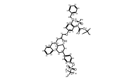 CC(C)(C)OC(=O)N(c1cc(OC[C@@H](O)CN(Cc2ccccc2)C2CCC(c3ccc(OS(=O)(=O)C(F)(F)F)cc3)CC2)ccc1OCc1ccccc1)S(C)(=O)=O